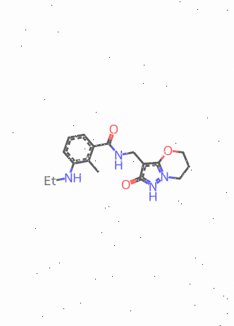 CCNc1cccc(C(=O)NCc2c3n([nH]c2=O)CCCO3)c1C